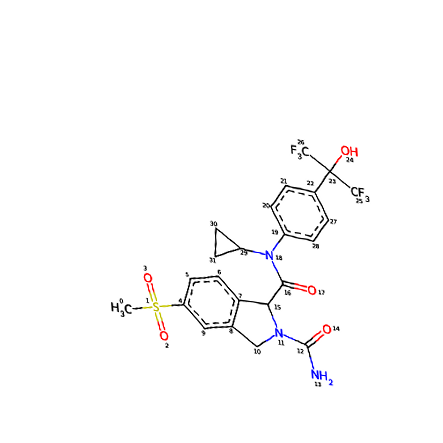 CS(=O)(=O)c1ccc2c(c1)CN(C(N)=O)C2C(=O)N(c1ccc(C(O)(C(F)(F)F)C(F)(F)F)cc1)C1CC1